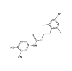 Cc1cc(Br)cc(C)c1CCOC(=O)Nc1ccc(S)c(C#N)c1